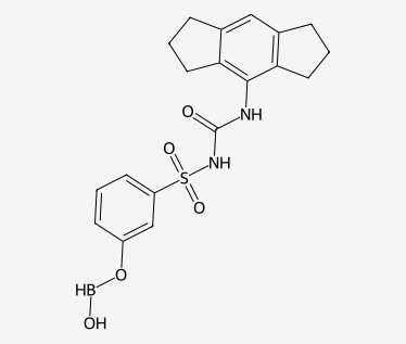 O=C(Nc1c2c(cc3c1CCC3)CCC2)NS(=O)(=O)c1cccc(OBO)c1